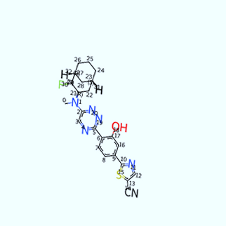 CN(c1cnc(-c2ccc(-c3ncc(C#N)s3)cc2O)nn1)[C@@H]1C[C@H]2CCC[C@H](C2)[C@@H]1F